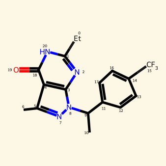 CCc1nc2c(c(C)nn2C(C)c2ccc(C(F)(F)F)cc2)c(=O)[nH]1